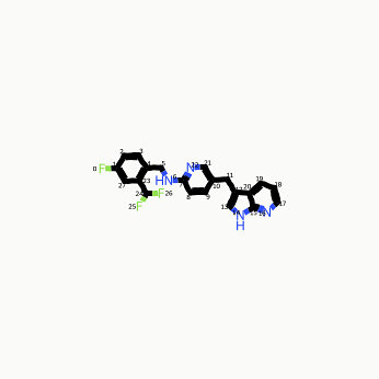 Fc1ccc(CNc2ccc(Cc3c[nH]c4ncccc34)cn2)c(C(F)F)c1